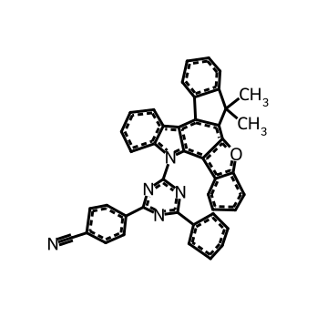 CC1(C)c2ccccc2-c2c1c1oc3ccccc3c1c1c2c2ccccc2n1-c1nc(-c2ccccc2)nc(-c2ccc(C#N)cc2)n1